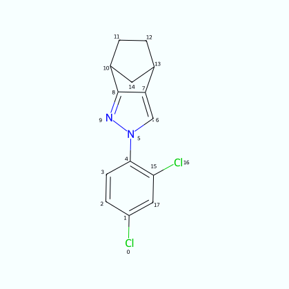 Clc1ccc(-n2[c]c3c(n2)C2CCC3C2)c(Cl)c1